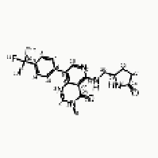 Cn1cnc2c(-c3ccc(C(F)(F)F)cc3)cnc(NCC3CCC(=O)N3)c2c1=O